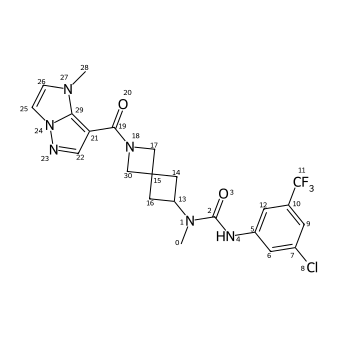 CN(C(=O)Nc1cc(Cl)cc(C(F)(F)F)c1)C1CC2(C1)CN(C(=O)c1cnn3ccn(C)c13)C2